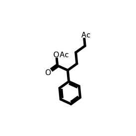 CC(=O)CCCC(C(=O)OC(C)=O)c1ccccc1